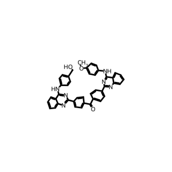 COc1ccc(Nc2nc(-c3ccc(C(=O)c4ccc(-c5nc(Nc6ccc(CO)cc6)c6ccccc6n5)cc4)cc3)nc3ccccc23)cc1